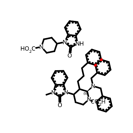 Cn1c(=O)n(C2CCN(C(=O)O)[C@H](N(Cc3ccccc3)Cc3ccccc3)C2CCCc2ccccc2)c2ccccc21.O=C(O)N1CCC(n2c(=O)[nH]c3ccccc32)CC1